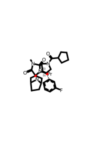 CC(C)N1C(=O)N(C)C(=O)C12CC1CCC(C2)N1C[C@H]1CN(C(=O)C2CCCC2)C[C@@H]1c1cccc(F)c1